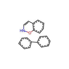 C1=Cc2ccccc2ON1.c1ccc(-c2ccccc2)cc1